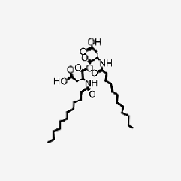 CCCCCCCCCCCC(=O)N[C@@H](CC(=O)O)C(=O)OC(=O)[C@H](CC(=O)O)NC(=O)CCCCCCCCCCC